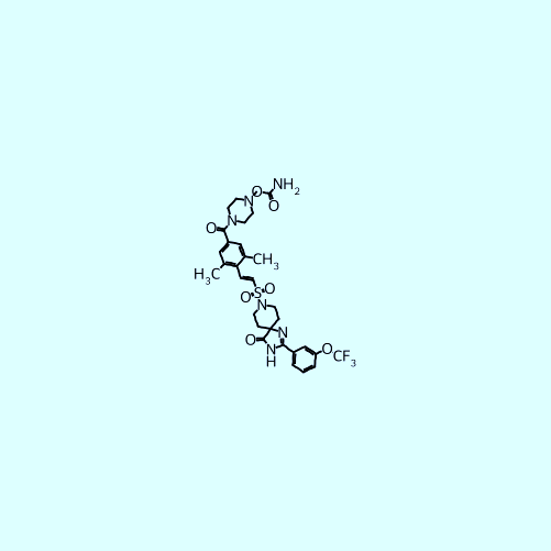 Cc1cc(C(=O)N2CCN(OC(N)=O)CC2)cc(C)c1/C=C/S(=O)(=O)N1CCC2(CC1)N=C(c1cccc(OC(F)(F)F)c1)NC2=O